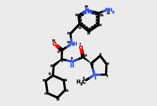 CN1CCC[C@H]1C(=O)N[C@@H](CC1CCCCC1)C(=O)NCc1ccc(N)nc1